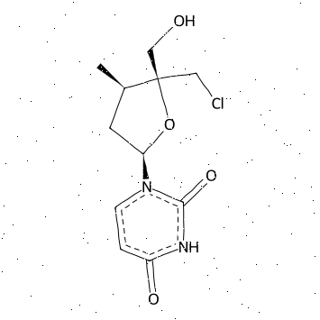 C[C@@H]1C[C@H](n2ccc(=O)[nH]c2=O)O[C@@]1(CO)CCl